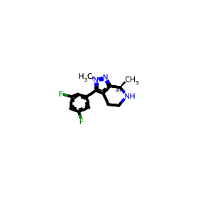 C[C@H]1NCCc2c1nn(C)c2-c1cc(F)cc(F)c1